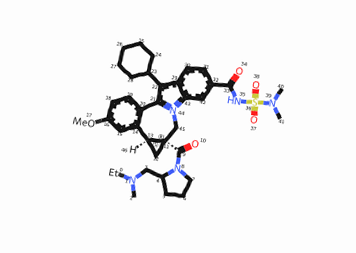 CCN(C)CC1CCCN1C(=O)[C@]12C[C@H]1c1cc(OC)ccc1-c1c(C3CCCCC3)c3ccc(C(=O)NS(=O)(=O)N(C)C)cc3n1C2